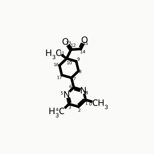 Cc1cc(C)nc(C2CCC(C)(C(=O)C=O)CC2)n1